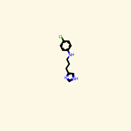 Clc1ccc(NCCCc2c[nH]cn2)cc1